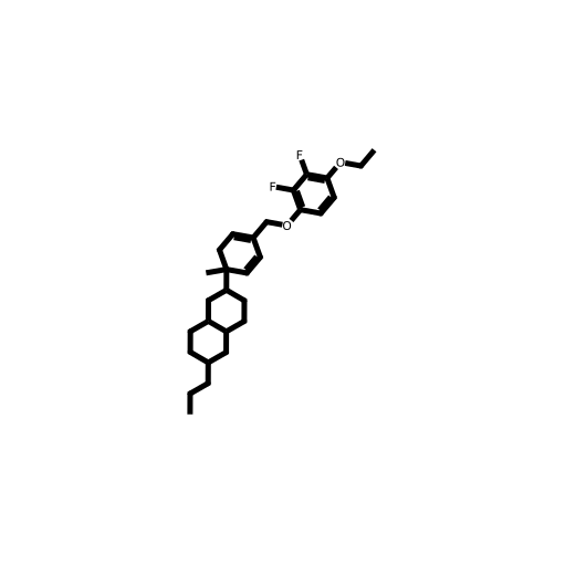 CCCC1CCC2CC(C3(C)C=CC(COc4ccc(OCC)c(F)c4F)=CC3)CCC2C1